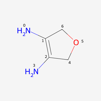 NC1=C(N)COC1